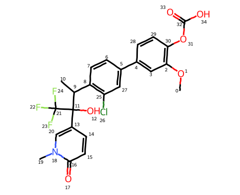 COc1cc(-c2ccc(C(C)C(O)(c3ccc(=O)n(C)c3)C(F)(F)F)c(Cl)c2)ccc1OC(=O)O